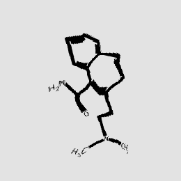 CN(C)CCc1ccc2ccccc2c1C(N)=O